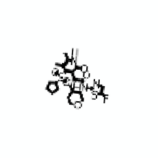 Cc1[nH]c(=O)c([C@@H](CC2CCOCC2)C(=O)Nc2ncc(F)s2)c(S(=O)(=O)C2CCCC2)c1C